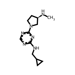 CN[C@@H]1CCN(c2ncnc(NCC3CC3)n2)C1